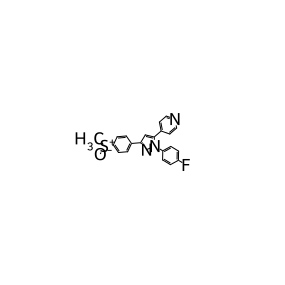 C[S+]([O-])c1ccc(-c2cc(-c3ccncc3)n(-c3ccc(F)cc3)n2)cc1